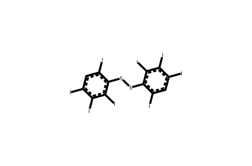 Ic1cc(I)c(SSc2c(I)cc(I)c(I)c2I)c(I)c1I